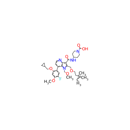 COCn1c(COCC[Si](C)(C)C)c(C(=O)NC2CCN(C(=O)O)CC2)c2nccc(-c3cc(F)c(OC)cc3OCC3CC3)c21